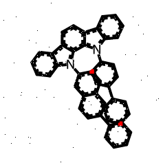 c1ccc(-c2ccc(-n3c4ccccc4c4ccc5c6ccccc6n(-c6ccc7cc(-c8ccccc8)ccc7c6)c5c43)cc2)cc1